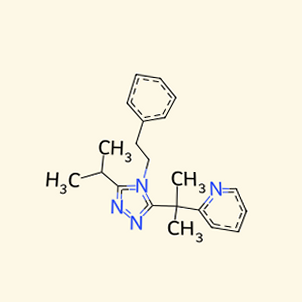 CC(C)c1nnc(C(C)(C)c2ccccn2)n1CCc1ccccc1